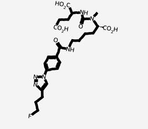 CN(C(=O)NC(CCC(=O)O)C(=O)O)[C@@H](CCCCNC(=O)c1ccc(-n2cc(CCCF)nn2)cc1)C(=O)O